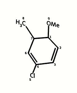 COC1C=CC(Cl)=CC1C